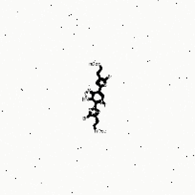 CCCCCCCCCCCCc1cc(C2=CC(F)=C(c3cc(CCCCCCCCCCCC)c(Br)s3)C3NSN=C23)sc1Br